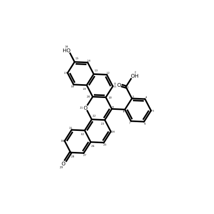 O=C(O)c1ccccc1-c1c2ccc3cc(O)ccc3c2oc2c1ccc1cc(=O)ccc12